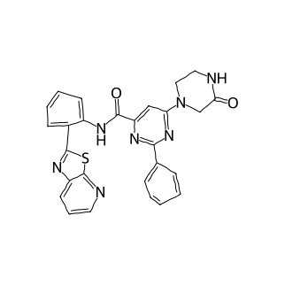 O=C1CN(c2cc(C(=O)Nc3ccccc3-c3nc4cccnc4s3)nc(-c3ccccc3)n2)CCN1